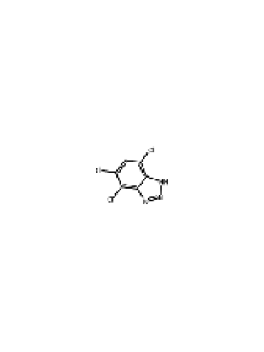 Clc1cc(Cl)c2[nH]nnc2c1Cl